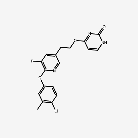 Cc1cc(Oc2ncc(CCOc3cc[nH]c(=O)n3)cc2F)ccc1Cl